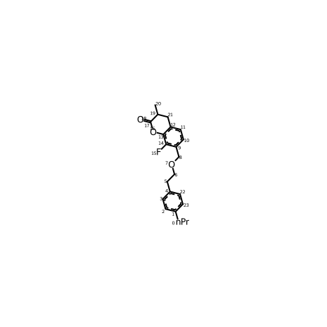 CCCc1ccc(CCOCc2ccc3c(c2F)OC(=O)C(C)C3)cc1